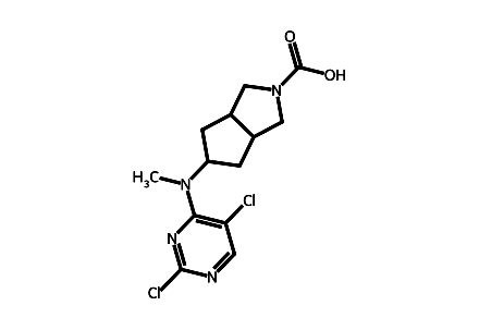 CN(c1nc(Cl)ncc1Cl)C1CC2CN(C(=O)O)CC2C1